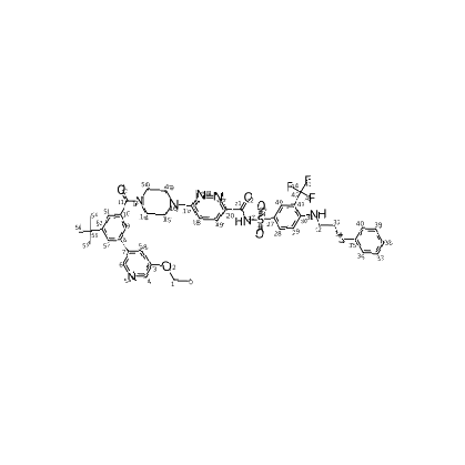 CCOc1cncc(-c2cc(C(=O)N3CCN(c4ccc(C(=O)NS(=O)(=O)c5ccc(NCCSc6ccccc6)c(C(F)(F)F)c5)nn4)CC3)cc(C(C)(C)C)c2)c1